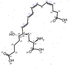 N[C@H](CS[C@H](/C=C/C=C/C=C\C/C=C\CCC(=O)O)[C@@H](O)CCCC(=O)O)C(=O)O